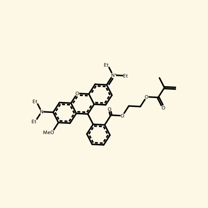 C=C(C)C(=O)OCCOC(=O)c1ccccc1-c1c2ccc(=[N+](CC)CC)cc-2oc2cc(N(CC)CC)c(OC)cc12